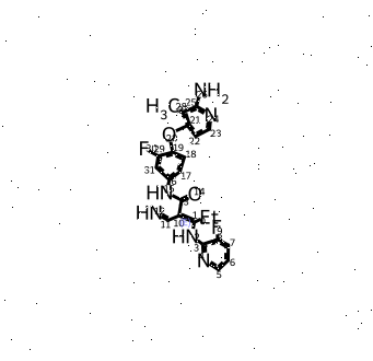 CC/C(Nc1ncccc1F)=C(/C=N)C(=O)Nc1ccc(Oc2ccnc(N)c2C)c(F)c1